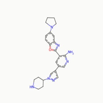 Nc1ncc(-c2cnn(C3CCNCC3)c2)cc1-c1nc2cc(N3CCCC3)ccc2o1